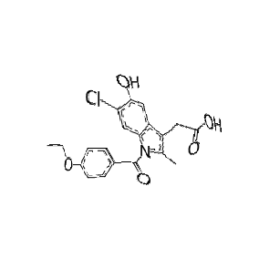 CCOc1ccc(C(=O)n2c(C)c(CC(=O)O)c3cc(O)c(Cl)cc32)cc1